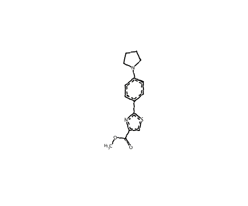 COC(=O)c1csc(-c2ccc(N3CCCC3)cc2)n1